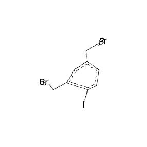 BrCc1ccc(I)c(CBr)c1